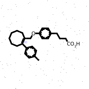 Cc1ccc(/C2=C(\COc3ccc(CCCC(=O)O)cc3)CCCCCC2)cc1